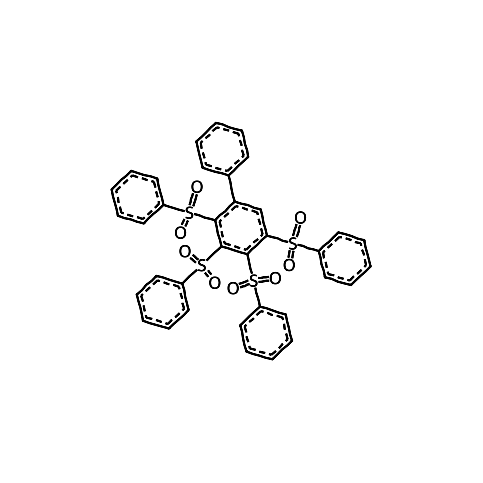 O=S(=O)(c1ccccc1)c1cc(-c2ccccc2)c(S(=O)(=O)c2ccccc2)c(S(=O)(=O)c2ccccc2)c1S(=O)(=O)c1ccccc1